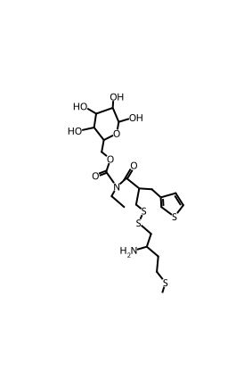 CCN(C(=O)OCC1OC(O)C(O)C(O)C1O)C(=O)C(CSSCC(N)CCSC)Cc1ccsc1